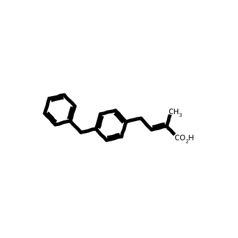 CC(=CCc1ccc(Cc2ccccc2)cc1)C(=O)O